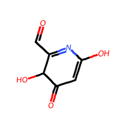 O=CC1=NC(O)=CC(=O)C1O